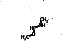 CNPOC